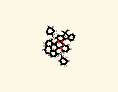 CC1(C)c2ccccc2-c2ccc(N(c3ccccc3)c3ccc4ccc5ccc(N(c6ccccc6)c6ccccn6)c6c7ccccc7c3c4c56)cc21